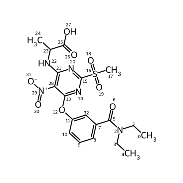 CCN(CC)C(=O)c1cccc(Oc2nc(S(C)(=O)=O)nc(NC(C)C(=O)O)c2[N+](=O)[O-])c1